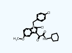 COc1ccc2c(c1)c(C(=O)C(=O)NC1CCCCC1)c(Cl)n2Cc1ccc(Cl)cc1